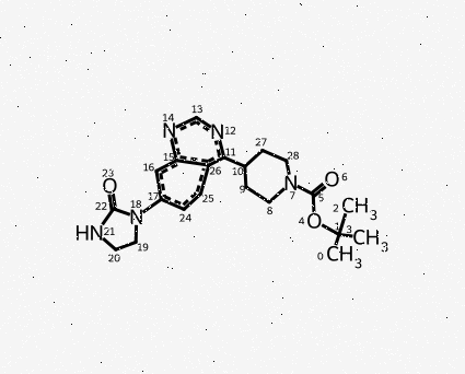 CC(C)(C)OC(=O)N1CCC(c2ncnc3cc(N4CCNC4=O)ccc23)CC1